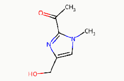 CC(=O)c1nc(CO)cn1C